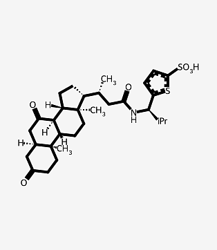 CC(C)[C@@H](NC(=O)C[C@@H](C)[C@H]1CC[C@H]2[C@@H]3C(=O)C[C@@H]4CC(=O)CC[C@]4(C)[C@H]3CC[C@]12C)c1ccc(S(=O)(=O)O)s1